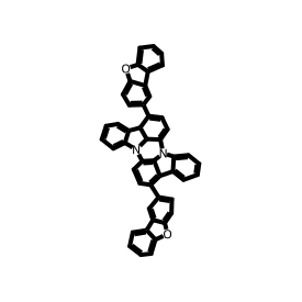 C1=C(c2ccc3oc4ccccc4c3c2)C2c3ccccc3N3c4ccc(-c5ccc6oc7ccccc7c6c5)c5c6ccccc6n(c45)C(=C1)C23